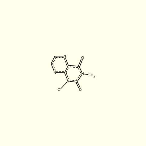 Cn1c(=O)c2nccnc2n(Cl)c1=O